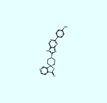 O=C1O[C@]2(CC[C@H](c3nc4nc(-c5ccc(O)cc5)ncc4[nH]3)CC2)c2cnccc21